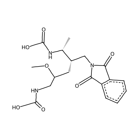 COC(CNC(=O)O)C[C@@H](CN1C(=O)c2ccccc2C1=O)[C@@H](C)NC(=O)O